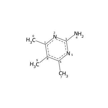 Cc1nc(N)nc(C)c1C